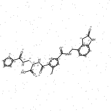 Cc1cc(C(=O)NCc2cccc3c2CC(=O)N3)sc1C(=O)N[C@@H](CNC(=O)c1cccs1)C(=O)O